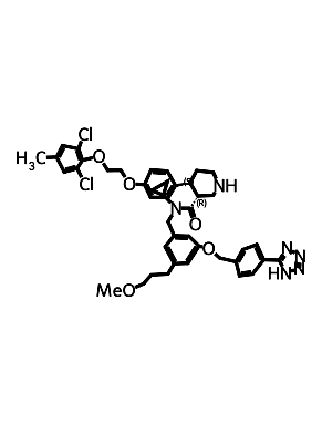 COCCCc1cc(CN(C(=O)[C@H]2CNCC[C@@H]2c2ccc(OCCOc3c(Cl)cc(C)cc3Cl)cc2)C2CC2)cc(OCc2ccc(-c3nnn[nH]3)cc2)c1